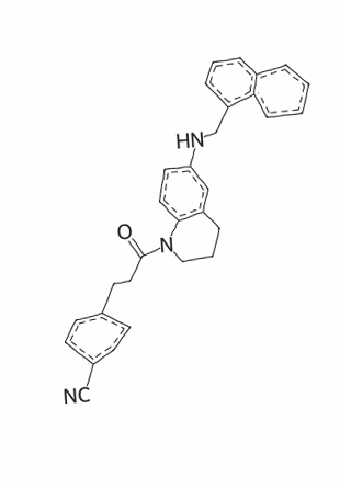 N#Cc1ccc(CCC(=O)N2CCCc3cc(NCc4cccc5ccccc45)ccc32)cc1